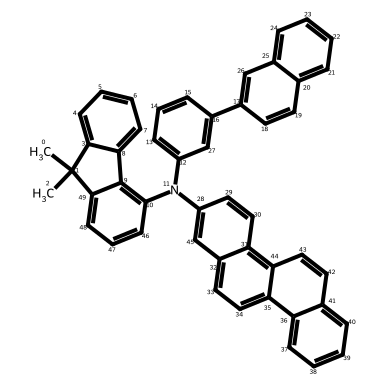 CC1(C)c2ccccc2-c2c(N(c3cccc(-c4ccc5ccccc5c4)c3)c3ccc4c(ccc5c6ccccc6ccc45)c3)cccc21